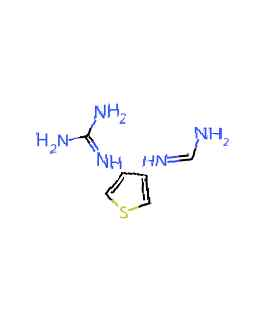 N=C(N)N.N=CN.c1ccsc1